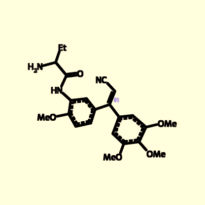 CCC(N)C(=O)Nc1cc(/C(=C\C#N)c2cc(OC)c(OC)c(OC)c2)ccc1OC